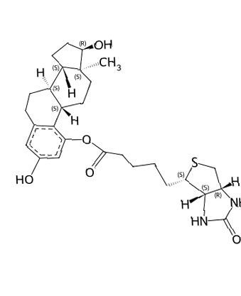 C[C@]12CC[C@@H]3c4c(cc(O)cc4OC(=O)CCCC[C@@H]4SC[C@@H]5NC(=O)N[C@@H]54)CC[C@H]3[C@@H]1CC[C@H]2O